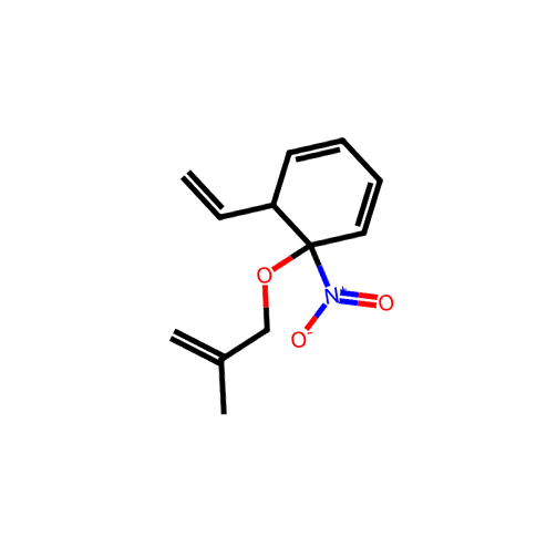 C=CC1C=CC=CC1(OCC(=C)C)[N+](=O)[O-]